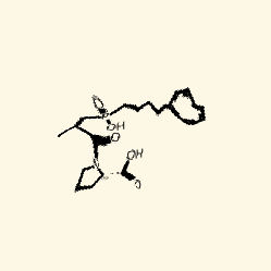 CC(CP(=O)(O)CCCCc1ccccc1)C(=O)N1CCC[C@H]1C(=O)O